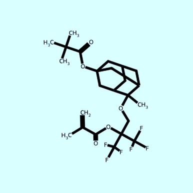 C=C(C)C(=O)OC(COC1(C)C2CC3CC1CC(OC(=O)C(C)(C)C)(C3)C2)(C(F)(F)F)C(F)(F)F